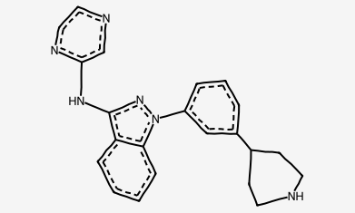 c1cc(C2CCNCC2)cc(-n2nc(Nc3cnccn3)c3ccccc32)c1